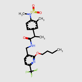 CCCCOc1nc(C(F)(F)F)ccc1CNC(=O)C(C)c1ccc(N(C)[SH](=O)=O)c(C)c1